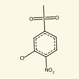 CS(=O)(=O)c1ccc([N+](=O)[O-])c(Cl)c1